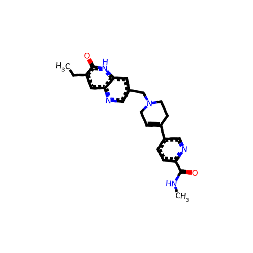 CCc1cc2ncc(CN3CC=C(c4ccc(C(=O)NC)nc4)CC3)cc2[nH]c1=O